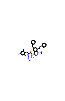 CCN(C(=O)C(N)Cc1c(C)cc(C)cc1C)C1CCNc2c(CCc3ccccc3)cc(Cc3ccccc3)cc21